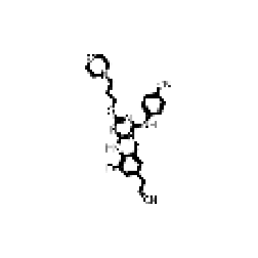 N#CCCc1cc(F)c(Nc2nc(Nc3ccc(C#N)cc3)nc(OCCCN3CCOCC3)n2)c(F)c1